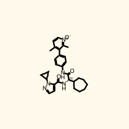 Cc1cc[n+]([O-])c(C)c1-c1ccc(NC(=O)[C@@H](NC(=O)c2ccnn2C2CC2)C2CCCCCC2)cc1